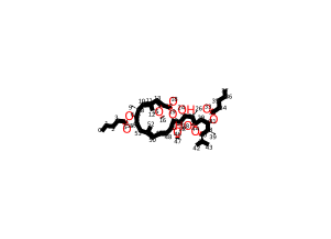 CCCCC(=O)O[C@@H]1[C@H](C)/C=C(C)/C=C(\OC)C(=O)O[C@H]([C@@H](C)[C@@H](O)[C@H](C)[C@@]2(O)C[C@@H](OC(=O)CCCC)[C@H](C)[C@@H](C(C)C)O2)[C@@H](OC)/C=C/C=C(\C)C[C@@H]1C